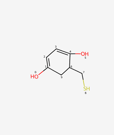 OC1=CC=C(O)C(CS)C1